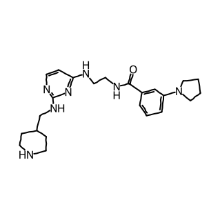 O=C(NCCNc1ccnc(NCC2CCNCC2)n1)c1cccc(N2CCCC2)c1